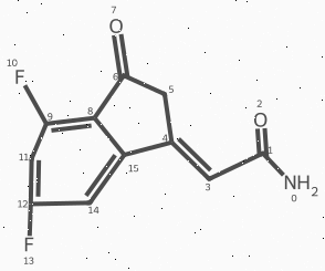 NC(=O)C=C1CC(=O)c2c(F)cc(F)cc21